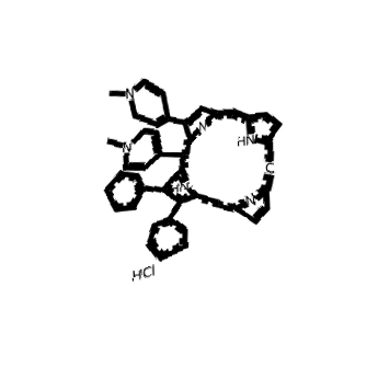 CN1C=CC(C2=Cc3cc4ccc(cc5nc(cc6[nH]c(c(C7=CCN(C)C=C7)c2n3)c(-c2ccccc2)c6-c2ccccc2)C=C5)[nH]4)=CC1.Cl